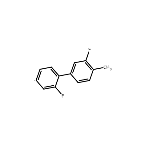 Cc1ccc(-c2cc[c]cc2F)cc1F